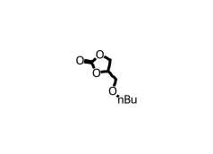 [CH2]CCCOCC1COC(=O)O1